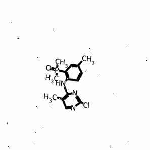 Cc1ccc(Nc2nc(Cl)ncc2C)c(P(C)(C)=O)c1